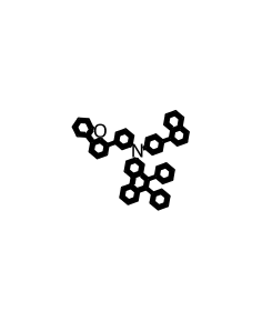 c1ccc(-c2c(-c3ccccc3)c3cc(N(c4ccc(-c5cccc6ccccc56)cc4)c4cccc(-c5cccc6c5oc5ccccc56)c4)ccc3c3ccccc23)cc1